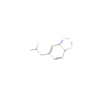 NC(CC1=CC2=NONC2C=C1)C(=O)O